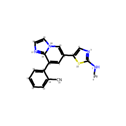 CC(C)Nc1ncc(-c2cc(-c3ccccc3C#N)c3nccn3c2)s1